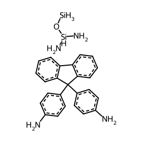 N[SiH](N)O[SiH3].Nc1ccc(C2(c3ccc(N)cc3)c3ccccc3-c3ccccc32)cc1